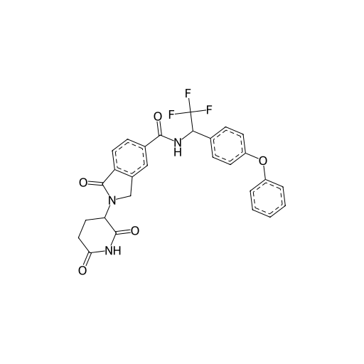 O=C1CCC(N2Cc3cc(C(=O)NC(c4ccc(Oc5ccccc5)cc4)C(F)(F)F)ccc3C2=O)C(=O)N1